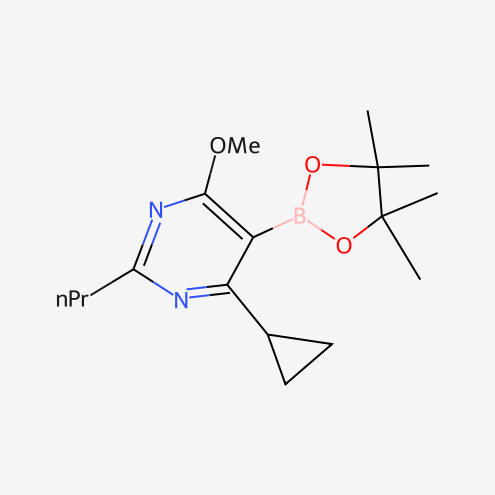 CCCc1nc(OC)c(B2OC(C)(C)C(C)(C)O2)c(C2CC2)n1